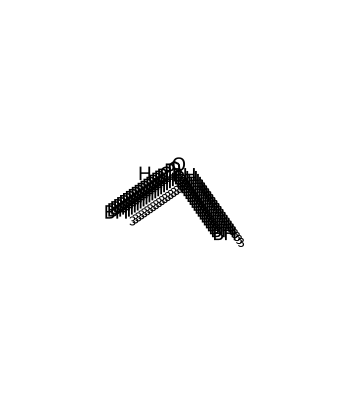 B.B.B.B.B.B.B.B.B.B.B.B.B.B.B.B.B.B.B.B.B.B.B.B.B.B.B.B.B.B.B.B.B.B.B.B.B.B.B.B.CP1CCOCC1